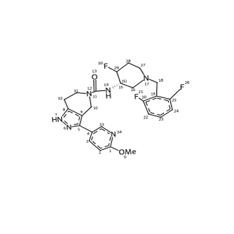 COc1ccc(-c2n[nH]c3c2CN(C(=O)N[C@H]2CN(Cc4c(F)cccc4F)CCC2F)CC3)cn1